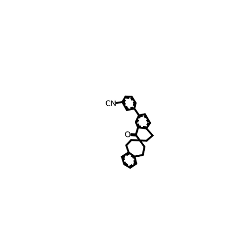 [C-]#[N+]c1cccc(-c2ccc3c(c2)C(=O)C2(CCc4ccccc4CC2)CC3)c1